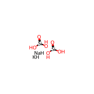 O=[Si](O)O.O=[Si](O)O.[KH].[NaH]